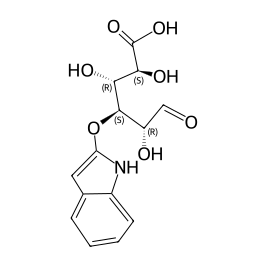 O=C[C@H](O)[C@@H](Oc1cc2ccccc2[nH]1)[C@H](O)[C@H](O)C(=O)O